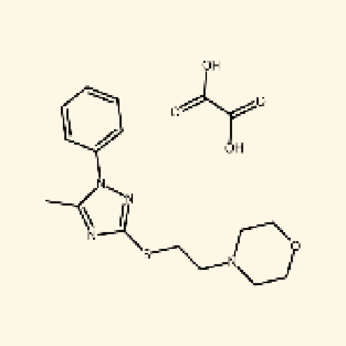 Cc1nc(SCCN2CCOCC2)nn1-c1ccccc1.O=C(O)C(=O)O